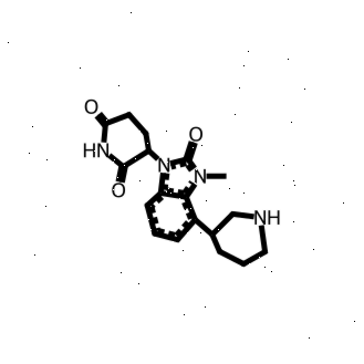 Cn1c(=O)n(C2CCC(=O)NC2=O)c2cccc(C3CCCNC3)c21